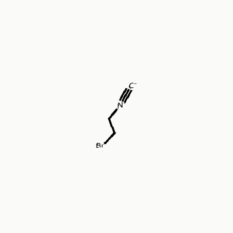 [C-]#[N+]CCBr